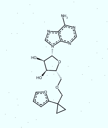 Nc1ncnc2c1ncn2[C@@H]1O[C@H](COCC2(c3ccco3)CC2)[C@@H](O)[C@H]1O